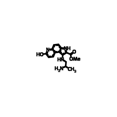 COC(=O)c1[nH]c2ccc3nc(O)ccc3c2c1NCC(C)N